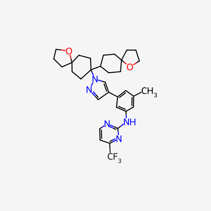 Cc1cc(Nc2nccc(C(F)(F)F)n2)cc(-c2cnn(C3(C4CCC5(CCCO5)CC4)CCC4(CCCO4)CC3)c2)c1